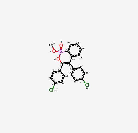 CCOP1(=O)OC(c2ccc(Cl)cc2)=C(c2ccc(Cl)cc2)c2ccccc21